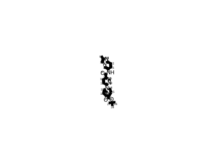 Cc1cn2cc(NC(=O)c3ccc(N4CC5CCCC4CN5C(=O)OC(C)(C)C)nn3)ccc2n1